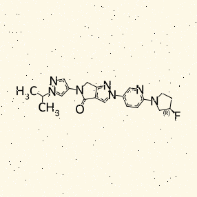 CC(C)n1cc(N2Cc3nn(-c4ccc(N5CC[C@@H](F)C5)nc4)cc3C2=O)cn1